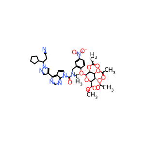 COC(=O)[C@H]1O[C@@H](Oc2ccc([N+](=O)[O-])cc2CN(C)C(=O)n2ccc3c(-c4cnn(C(CC#N)C5CCCC5)c4)ncnc32)[C@H](OC(C)=O)[C@@H](OC(C)=O)[C@@H]1OC(C)=O